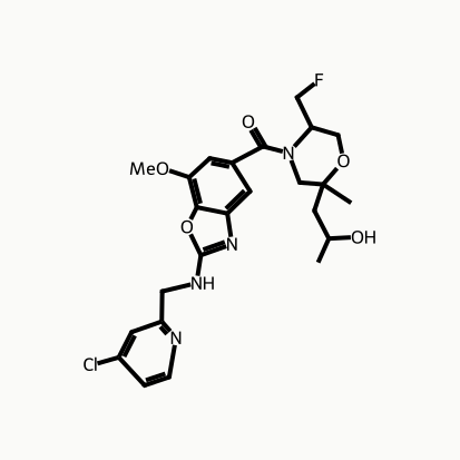 COc1cc(C(=O)N2CC(C)(CC(C)O)OCC2CF)cc2nc(NCc3cc(Cl)ccn3)oc12